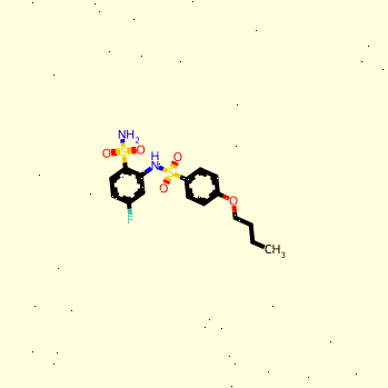 CCCCOc1ccc(S(=O)(=O)Nc2cc(F)ccc2S(N)(=O)=O)cc1